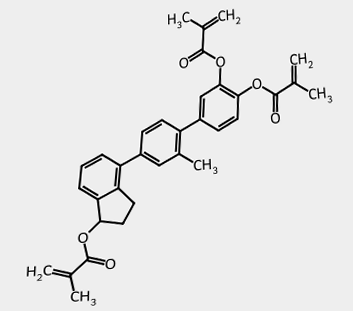 C=C(C)C(=O)Oc1ccc(-c2ccc(-c3cccc4c3CCC4OC(=O)C(=C)C)cc2C)cc1OC(=O)C(=C)C